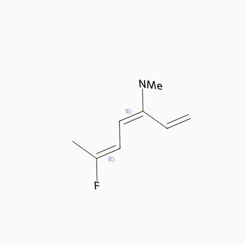 C=C/C(=C\C=C(/C)F)NC